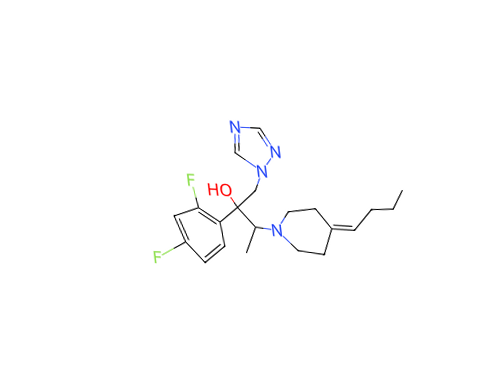 CCCC=C1CCN(C(C)C(O)(Cn2cncn2)c2ccc(F)cc2F)CC1